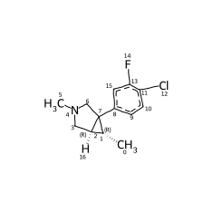 C[C@@H]1[C@H]2CN(C)CC12c1ccc(Cl)c(F)c1